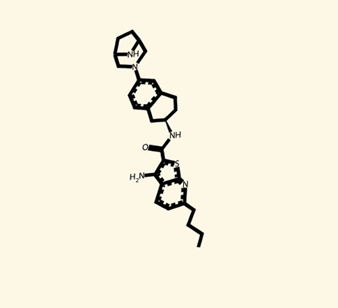 CCCCc1ccc2c(N)c(C(=O)N[C@@H]3CCc4cc(N5CC6CCC(C5)N6)ccc4C3)sc2n1